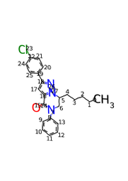 CCCCCC1CN(c2ccccc2)C(=O)c2cc(-c3ccc(Cl)cc3)nn21